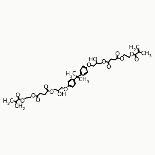 C=C(C)C(=O)OCCOC(=O)CCC(=O)OCC(O)COc1ccc(C(C)(C)c2ccc(OCC(O)COC(=O)CCC(=O)OCCOC(=O)C(=C)C)cc2)cc1